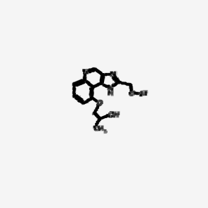 CCOCc1nc2cnc3cccc(OCC(C)O)c3c2[nH]1